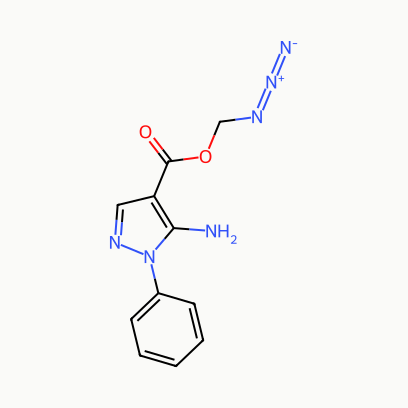 [N-]=[N+]=NCOC(=O)c1cnn(-c2ccccc2)c1N